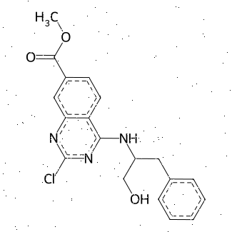 COC(=O)c1ccc2c(NC(CO)Cc3ccccc3)nc(Cl)nc2c1